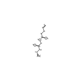 C=CCCC(=O)OCC(=O)CCC(C)=O